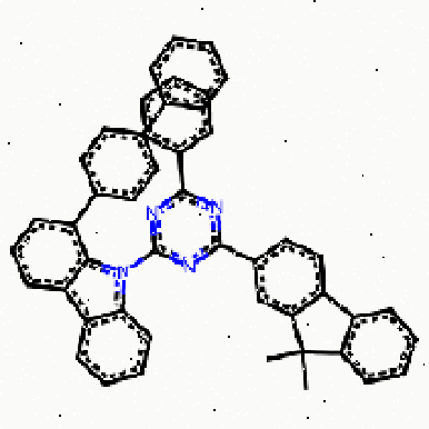 CC1(C)c2ccccc2-c2ccc(-c3nc(-c4ccccc4)nc(-n4c5ccccc5c5cccc(-c6ccc(-c7ccccc7)cc6)c54)n3)cc21